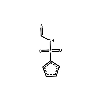 O=S(=O)(NC=S)c1cccs1